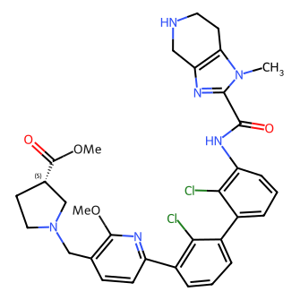 COC(=O)[C@H]1CCN(Cc2ccc(-c3cccc(-c4cccc(NC(=O)c5nc6c(n5C)CCNC6)c4Cl)c3Cl)nc2OC)C1